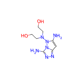 Nc1cc2nnc(N)n2n1N(CCO)CCO